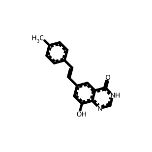 Cc1ccc(C=Cc2cc(O)c3nc[nH]c(=O)c3c2)cc1